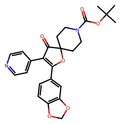 CC(C)(C)OC(=O)N1CCC2(CC1)OC(c1ccc3c(c1)OCO3)=C(c1ccncc1)C2=O